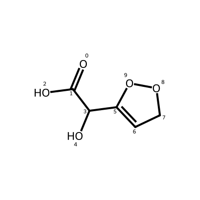 O=C(O)C(O)C1=CCOO1